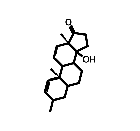 CC1C=C[C@@]2(C)C(CCC3C2CC[C@]2(C)C(=O)CCC32O)C1